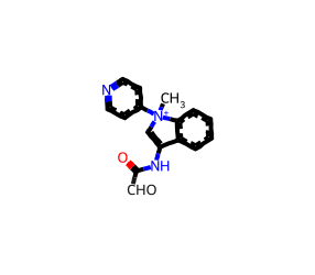 C[N+]1(c2ccncc2)C=C(NC(=O)C=O)c2ccccc21